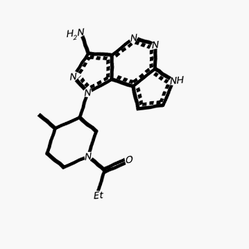 CCC(=O)N1CCC(C)C(n2nc(N)c3nnc4[nH]ccc4c32)C1